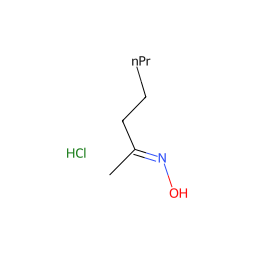 CCCCCC(C)=NO.Cl